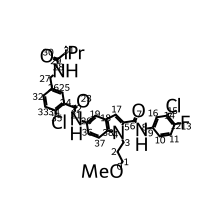 COCCCn1c(C(=O)Nc2ccc(F)c(Cl)c2)cc2cc(NC(=O)c3cc(CNC(=O)C(C)C)ccc3Cl)ccc21